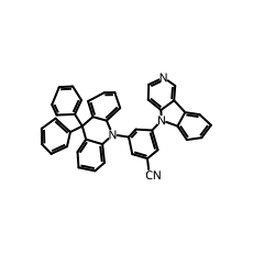 N#Cc1cc(N2c3ccccc3C(c3ccccc3)(c3ccccc3)c3ccccc32)cc(-n2c3ccccc3c3cnccc32)c1